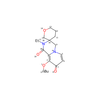 CCCCOc1c2n(ccc1=O)CC1(CCCOC1)N(CC)C2=O